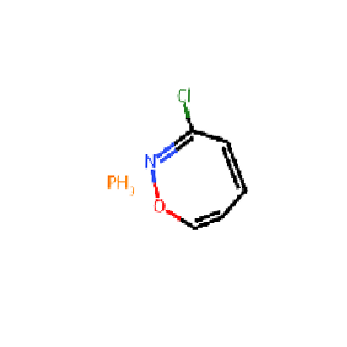 ClC1=NOC=CC=C1.P